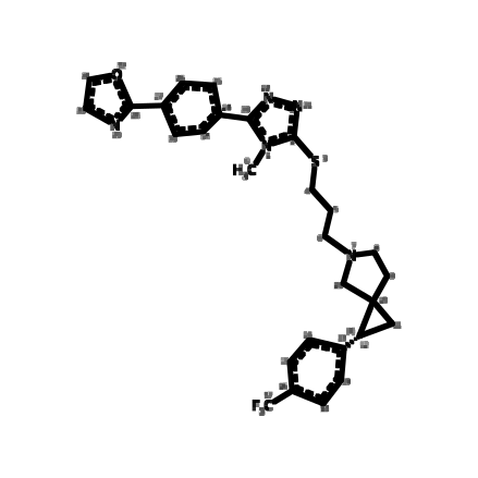 Cn1c(SCCCN2CCC3(C[C@@H]3c3ccc(C(F)(F)F)cc3)C2)nnc1-c1ccc(-c2ncco2)cc1